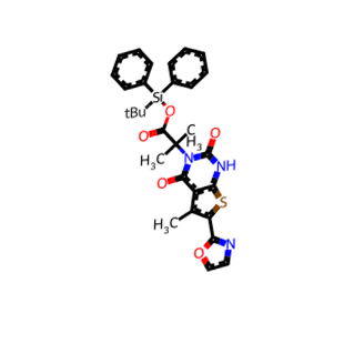 Cc1c(-c2ncco2)sc2[nH]c(=O)n(C(C)(C)C(=O)O[Si](c3ccccc3)(c3ccccc3)C(C)(C)C)c(=O)c12